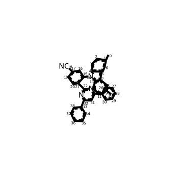 Cc1ccc2c(c1)c1cc(C)ccc1n2-c1cc(C#N)ccc1-c1nc(-c2ccccc2)cc(-c2ccccc2)n1